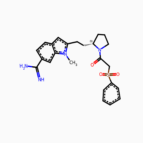 Cn1c(CC[C@@H]2CCCN2C(=O)CS(=O)(=O)c2ccccc2)cc2ccc(C(=N)N)cc21